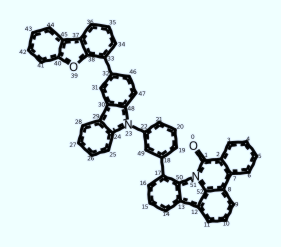 O=c1c2ccccc2c2cccc3c4cccc(-c5cccc(-n6c7ccccc7c7cc(-c8cccc9c8oc8ccccc89)ccc76)c5)c4n1c23